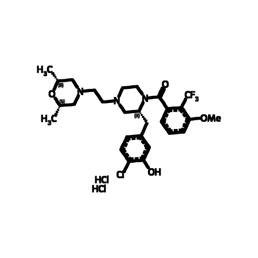 COc1cccc(C(=O)N2CCN(CCN3C[C@@H](C)O[C@@H](C)C3)C[C@H]2Cc2ccc(Cl)c(O)c2)c1C(F)(F)F.Cl.Cl